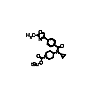 Cc1nc(-c2ccc(C(=O)N(C3CC3)C3CCN(C(=O)OC(C)(C)C)CC3)cc2)co1